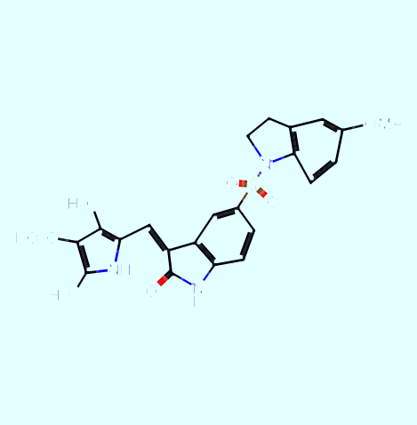 COc1ccc2c(c1)CCN2S(=O)(=O)c1ccc2c(c1)/C(=C/c1[nH]c(C)c(C(=O)O)c1C)C(=O)N2